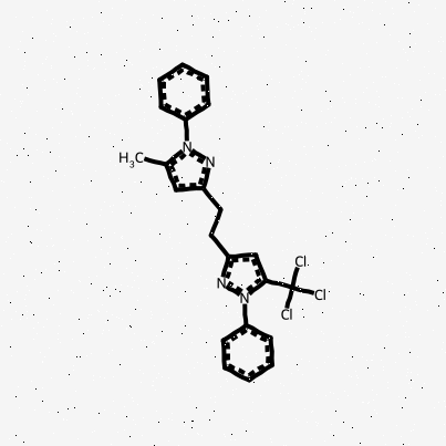 Cc1cc(CCc2cc(C(Cl)(Cl)Cl)n(-c3ccccc3)n2)nn1-c1ccccc1